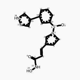 O=C(/C=C/c1ccn([S+]([O-])c2cccc(-c3cn[nH]c3)c2)c1)NO